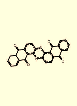 O=C1c2ccccc2C(=O)c2c1ccc1nc3c4c(ccc3nc21)C(=O)C1CC=CC=C1C4=O